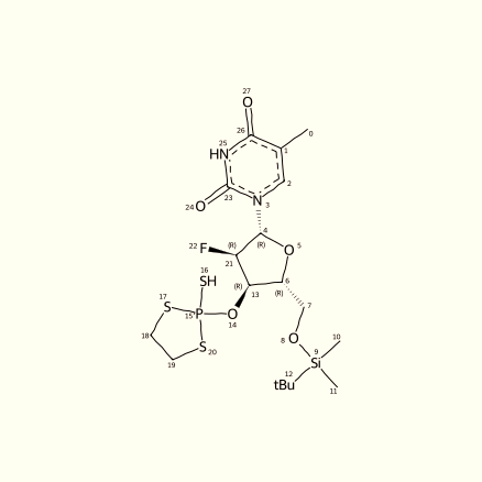 Cc1cn([C@@H]2O[C@H](CO[Si](C)(C)C(C)(C)C)[C@@H](O[P]3(S)SCCS3)[C@H]2F)c(=O)[nH]c1=O